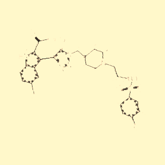 CC(C)COC(=O)c1[nH]c2ccc(F)cc2c1-c1cn(CC2CCN(CCNS(=O)(=O)c3ccc(Cl)cc3)CC2)nn1